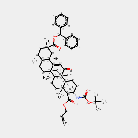 C=CCOC(=O)[C@]1(C)[C@@H](NC(=O)OC(C)(C)C)CC[C@@]2(C)[C@H]1CC[C@]1(C)[C@@H]2C(=O)C=C2[C@@H]3C[C@@](C)(C(=O)OC(c4ccccc4)c4ccccc4)CC[C@]3(C)CC[C@]21C